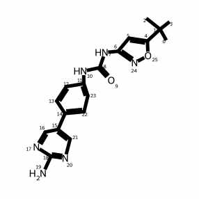 CC(C)(C)c1cc(NC(=O)Nc2ccc(-c3cnc(N)nc3)cc2)no1